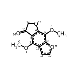 COc1c2c(c(OC)c3occc13)OCC2=O